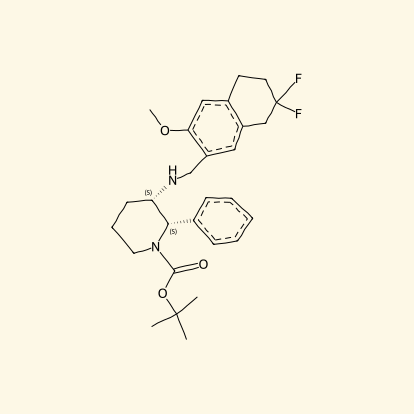 COc1cc2c(cc1CN[C@H]1CCCN(C(=O)OC(C)(C)C)[C@H]1c1ccccc1)CC(F)(F)CC2